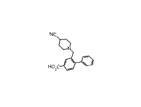 N#CC1CCN(Cc2cc(C(=O)O)ccc2-c2ccccc2)CC1